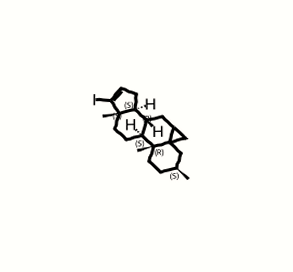 C[C@H]1CC[C@]2(C)[C@H]3CC[C@]4(C)C(I)=CC[C@H]4[C@@H]3CC3CC32C1